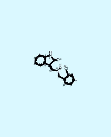 O=C1Nc2ccccc2C1=C[S+]([O-])Cc1ccccc1Cl